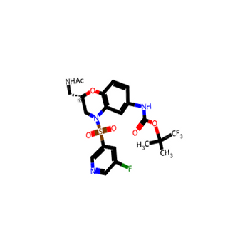 CC(=O)NC[C@H]1CN(S(=O)(=O)c2cncc(F)c2)c2cc(NC(=O)OC(C)(C)C(F)(F)F)ccc2O1